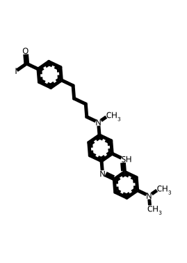 CN(C)c1ccc2c(c1)=[SH]c1cc(N(C)CCCCc3ccc(C(=O)I)cc3)ccc1N=2